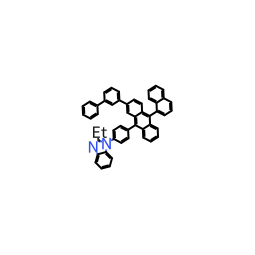 CCc1nc2ccccc2n1-c1ccc(-c2c3ccccc3c(-c3cccc4ccccc34)c3ccc(-c4cccc(-c5ccccc5)c4)cc23)cc1